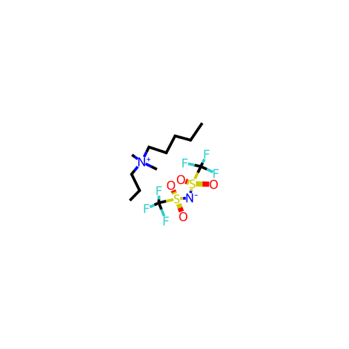 CCCCC[N+](C)(C)CCC.O=S(=O)([N-]S(=O)(=O)C(F)(F)F)C(F)(F)F